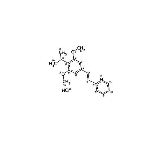 COc1cc(C=Cc2ccccn2)cc(OC)c1C(C)C.Cl